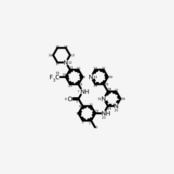 Cc1ccc(C(=O)Nc2ccc(N3CCCCC3)c(C(F)(F)F)c2)cc1Nc1nccc(-c2cccnc2)n1